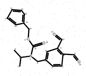 CC(C)N(Cc1ccc(C=O)c(C=O)c1)C(=O)OCc1ccccc1